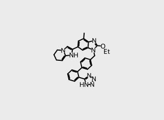 CCOc1nc2c(C)cc(C3=CN4CCCC=C4N3)cc2n1Cc1ccc(-c2ccccc2-c2nnn[nH]2)cc1